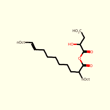 CCCCCCCCC=CCCCCCCC(CCCCCCCC)C(=O)OC(=O)C(O)CC(=O)O